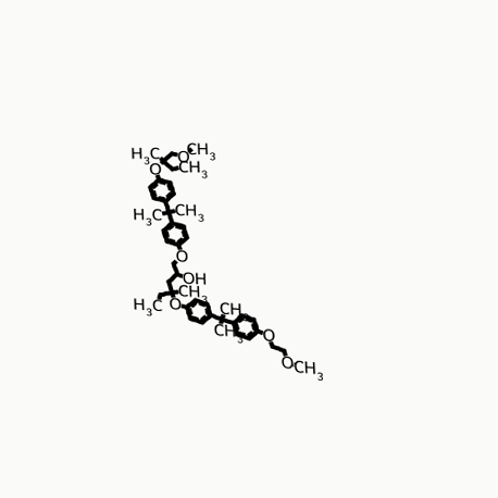 CCC(C)(COC)Oc1ccc(C(C)(C)c2ccc(OCC(O)CC(C)(CC)Oc3ccc(C(C)(C)c4ccc(OCCOC)cc4)cc3)cc2)cc1